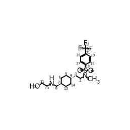 CN(CC[C@H]1CC[C@H](CNCCO)CC1)S(=O)(=O)c1ccc(C(F)(F)F)cc1